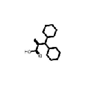 C=C(C(=O)O)C(C1CCCCC1)C1CCCCC1